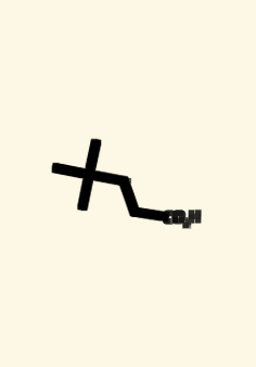 CC(C)(C)[CH]CC(=O)O